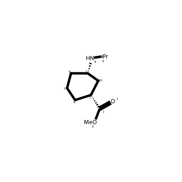 COC(=O)[C@@H]1CCC[C@H](NC(C)C)C1